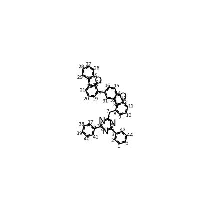 c1ccc(-c2nc(Cc3cccc4oc5ccc(-c6cccc7c6oc6ccccc67)cc5c34)nc(-c3ccccc3)n2)cc1